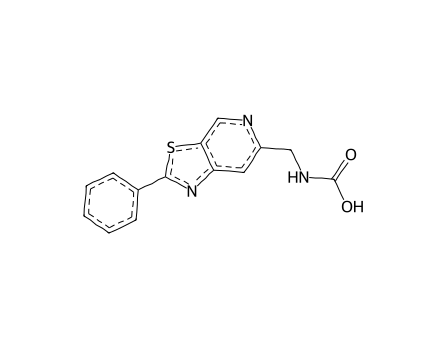 O=C(O)NCc1cc2nc(-c3ccccc3)sc2cn1